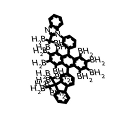 Bc1c(B)c(B)c2c(-c3ccc4c(c3)C(C(B)(B)B)(C(B)(B)B)c3ccccc3-4)c3c(B)c(B)c(B)c(B)c3c(-c3cccc(-n4c(C(B)(B)B)nc5ccccc54)c3)c2c1B